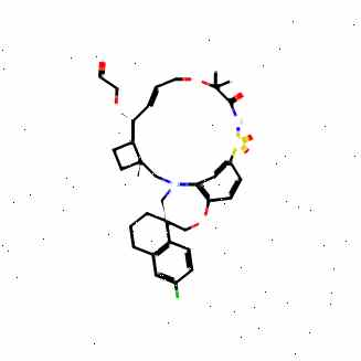 CC1(C)OC/C=C/[C@H](OCC=O)[C@@H]2CC[C@H]2CN2C[C@@]3(CCCc4cc(Cl)ccc43)COc3ccc(cc32)S(=O)(=O)NC1=O